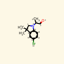 CC(C=O)N1CC(C)(C)c2cc(Br)ccc21